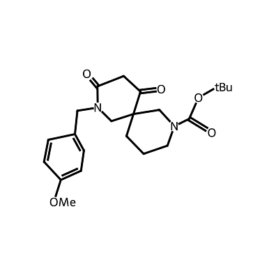 COc1ccc(CN2CC3(CCCN(C(=O)OC(C)(C)C)C3)C(=O)CC2=O)cc1